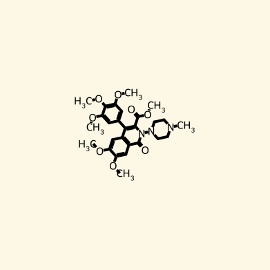 COC(=O)c1c(-c2cc(OC)c(OC)c(OC)c2)c2cc(OC)c(OC)cc2c(=O)n1N1CCN(C)CC1